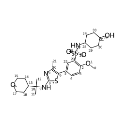 COc1ccc(-c2sc(NC(C)(C)C3CCOCC3)nc2C)cc1S(=O)(=O)NC1CCC(O)CC1